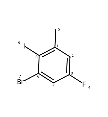 Cc1cc(F)cc(Br)c1I